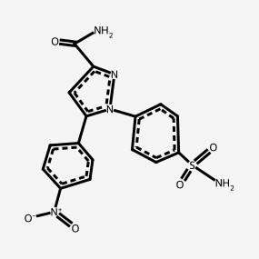 NC(=O)c1cc(-c2ccc([N+](=O)[O-])cc2)n(-c2ccc(S(N)(=O)=O)cc2)n1